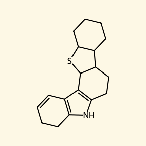 C1=Cc2c([nH]c3c2C2SC4CCCCC4C2CC3)CC1